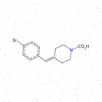 O=C(O)N1CCC(=Cc2ccc(Br)cc2)CC1